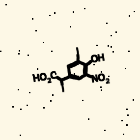 O=C(O)C(I)c1cc(I)c(O)c([N+](=O)[O-])c1